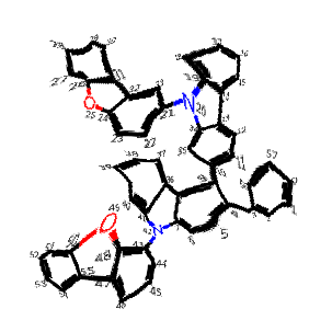 c1ccc(-c2ccc3c(c2-c2ccc4c5ccccc5n(-c5ccc6oc7ccccc7c6c5)c4c2)c2ccccc2n3-c2cccc3c2oc2ccccc23)cc1